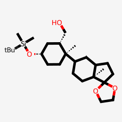 CC(C)(C)[Si](C)(C)O[C@H]1CC[C@](C)(C2[CH]C3CCC4(OCCO4)[C@@]3(C)CC2)[C@@H](CO)C1